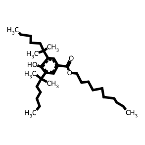 CCCCCCCCCCOC(=O)c1cc(C(C)(C)CCCCC)c(O)c(C(C)(C)CCCCC)c1